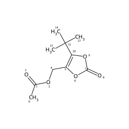 CC(=O)OCc1oc(=O)oc1C(C)(C)C